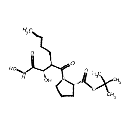 CCCC[C@@H](C(=O)N1CCC[C@H]1C(=O)OC(C)(C)C)[C@H](O)C(=O)NO